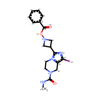 CNC(=O)N1CCn2c(C3CN(OC(=O)c4ccccc4)C3)nc(I)c2C1